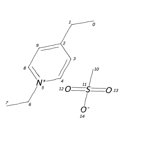 CCc1cc[n+](CC)cc1.CS(=O)(=O)[O-]